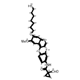 COc1cc2c(Oc3ccc(NC(=O)C4(C=O)CC4)cc3F)ccnc2cc1OCCCCCCCS